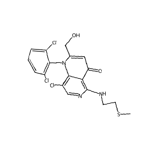 CSCCNc1ncc(Cl)c2c1c(=O)cc(CO)n2-c1c(Cl)cccc1Cl